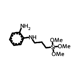 CO[Si](CCCNc1ccccc1N)(OC)OC